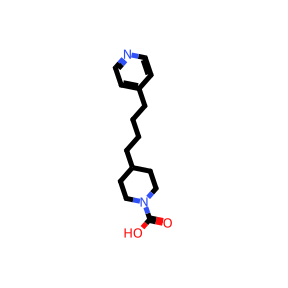 O=C(O)N1CCC(CCCCc2ccncc2)CC1